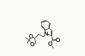 COC(=O)c1cc2ccccc2n1CCC1COC(C)(C)O1